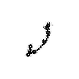 Cc1ccc2oc(-c3ccc(OCCCCc4cn(CCOCCOCCOc5ccc(-c6oc7ccccc7c(=O)c6OCc6ccccc6)cc5)nn4)cc3)cc(=O)c2c1